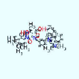 C[C@@H]1[C@@H](NC(=O)[C@@H]2[C@H]([C@H](C)O)[C@H](CO)ON2Cc2cccc(CN(CCN(C)C)C(c3ccccc3)C3CCCCC3)c2)C[C@@H](C)C(C)(C)[C@H]1C